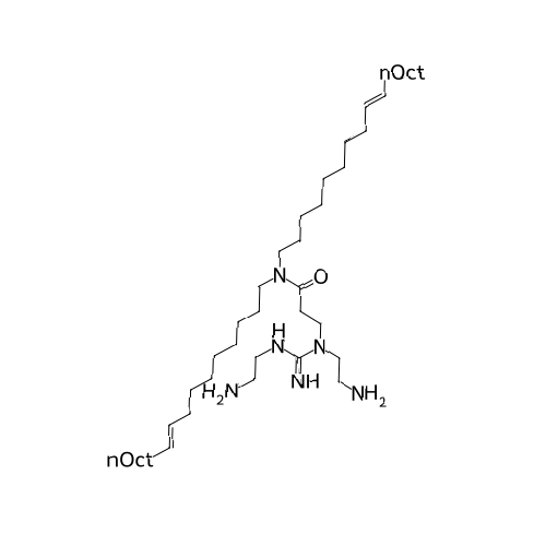 CCCCCCCCC=CCCCCCCCCN(CCCCCCCCC=CCCCCCCCC)C(=O)CCN(CCN)C(=N)NCCN